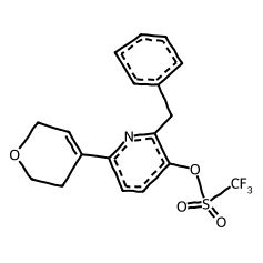 O=S(=O)(Oc1ccc(C2=CCOCC2)nc1Cc1ccccc1)C(F)(F)F